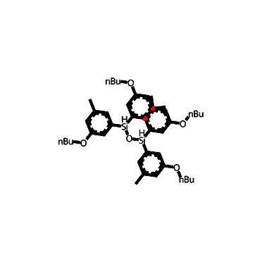 CCCCOc1cc(C)cc([SiH](O[SiH](c2cc(C)cc(OCCCC)c2)c2cc(C)cc(OCCCC)c2)c2cc(C)cc(OCCCC)c2)c1